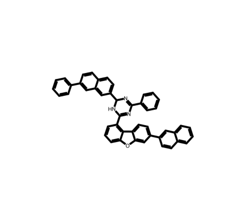 c1ccc(C2=NC(c3ccc4ccc(-c5ccccc5)cc4c3)NC(c3cccc4oc5cc(-c6ccc7ccccc7c6)ccc5c34)=N2)cc1